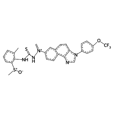 C=[N+](NC(=S)Nc1c(C)cccc1[S+](C)[O-])c1ccc2c(ccc3c2ncn3-c2ccc(OC(F)(F)F)cc2)c1